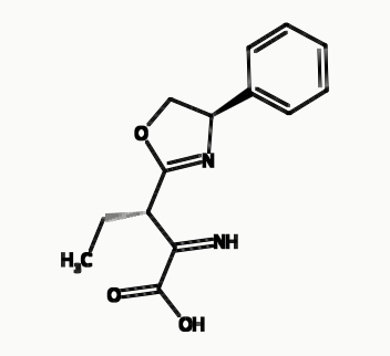 CC[C@@H](C(=N)C(=O)O)C1=N[C@H](c2ccccc2)CO1